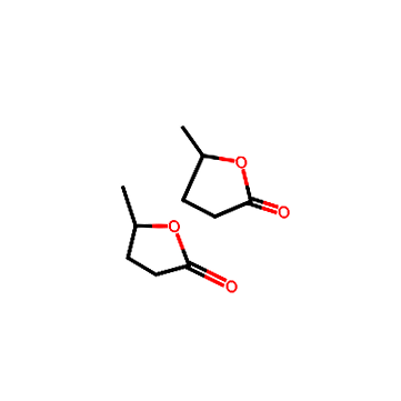 CC1CCC(=O)O1.CC1CCC(=O)O1